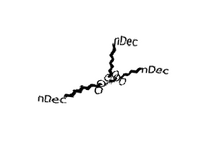 CCCCCCCCCCCCCCCCCC(=O)OC[C@@H](COC(=O)CCCCCCCCCCCCCCC)OC(=O)CCCCCCCCCCCCCCCCC